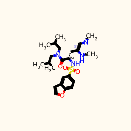 C=N/C=C(/C[C@H](NS(=O)(=O)c1ccc2occc2c1)C(=O)N(CC(C)C)CC(C)C)NC